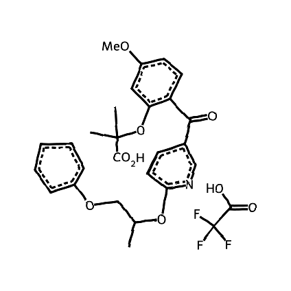 COc1ccc(C(=O)c2ccc(OC(C)COc3ccccc3)nc2)c(OC(C)(C)C(=O)O)c1.O=C(O)C(F)(F)F